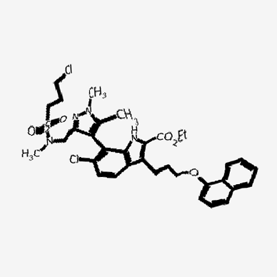 CCOC(=O)c1[nH]c2c(-c3c(CN(C)S(=O)(=O)CCCCl)nn(C)c3C)c(Cl)ccc2c1CCCOc1cccc2ccccc12